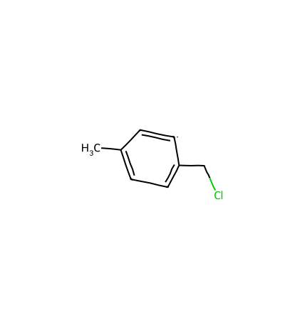 Cc1c[c]c(CCl)cc1